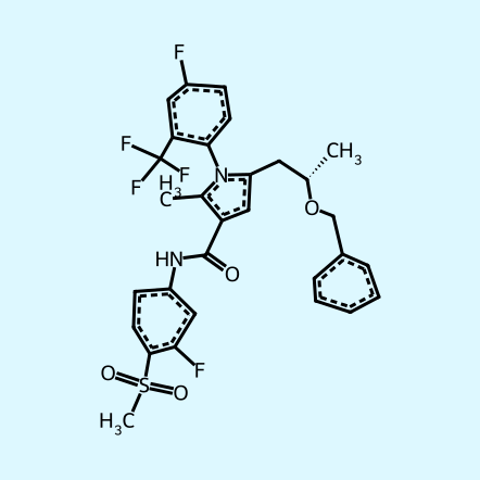 Cc1c(C(=O)Nc2ccc(S(C)(=O)=O)c(F)c2)cc(C[C@H](C)OCc2ccccc2)n1-c1ccc(F)cc1C(F)(F)F